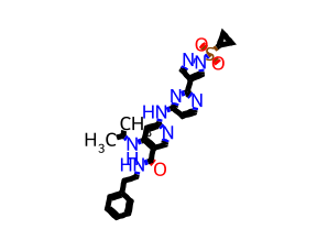 CC(C)Nc1cc(Nc2ccnc(-c3cnn(S(=O)(=O)C4CC4)c3)n2)ncc1C(=O)NCCc1ccccc1